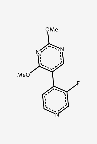 COc1ncc(-c2ccncc2F)c(OC)n1